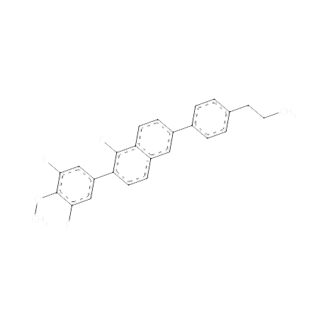 CCCc1ccc(-c2ccc3c(F)c(-c4cc(F)c(OC)c(F)c4)ccc3c2)cc1